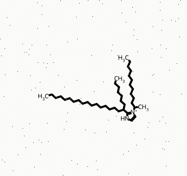 CCCCCCCCCCCCCCCCCC(CCCCCCC)c1[nH]cc[n+]1C(C)CCCCCCCCCCC